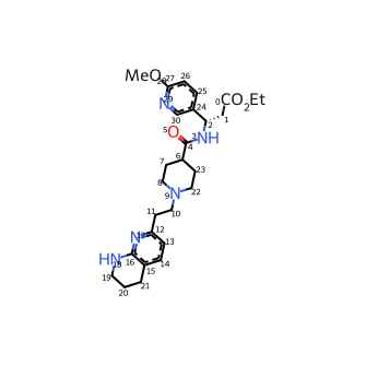 CCOC(=O)C[C@H](NC(=O)C1CCN(CCc2ccc3c(n2)NCCC3)CC1)c1ccc(OC)nc1